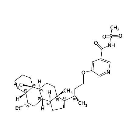 CC[C@H]1C[C@@H]2[C@H](CC[C@]3(C)[C@@H]([C@H](C)CCOc4cncc(C(=O)NS(C)(=O)=O)c4)CC[C@@H]23)[C@@]2(C)CCCC[C@@H]12